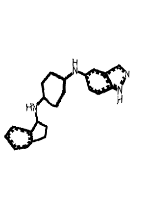 c1ccc2c(c1)CCC2NC1CCC(Nc2ccc3[nH]ncc3c2)CC1